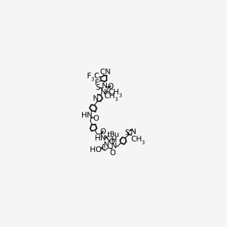 Cc1ncsc1-c1ccc(CNC(=O)C2C[C@@H](O)CN2C(=O)[C@@H](NC(=O)Cc2ccc(CC(=O)Nc3ccc(-c4ccc(N5C(=S)N(c6ccc(C#N)c(C(F)(F)F)c6F)C(=O)C5(C)C)cn4)cc3)cc2)C(C)(C)C)cc1